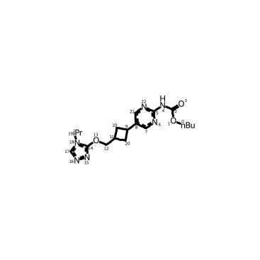 CCCCOC(=O)Nc1ncc(C2CC(COc3nncn3C(C)C)C2)cn1